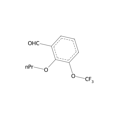 CCCOc1c(C=O)cccc1OC(F)(F)F